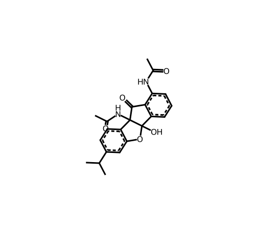 CC(=O)Nc1cccc2c1C(=O)C1(NC(C)=O)c3ccc(C(C)C)cc3OC21O